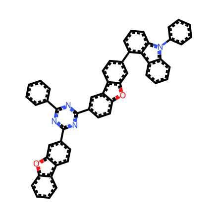 c1ccc(-c2nc(-c3ccc4c(c3)oc3ccccc34)nc(-c3ccc4oc5cc(-c6cccc7c6c6ccccc6n7-c6ccccc6)ccc5c4c3)n2)cc1